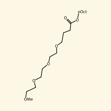 CCCCCCCCOC(=O)CCCOCCOCCOCCOC